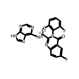 CC[C@H](Nc1ncnc2[nH]cnc12)c1nc2ccc(F)cc2c(=O)n1-c1c(F)cccc1F